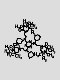 CN1C(C)(C)CN(CCN(c2nc(N(CCN3CC(C)(C)N(C)C(C)(C)C3=O)C3CCCCC3)nc(N(CCN3CC(C)(C)N(C)C(C)(C)C3=O)C3CCCCC3)n2)C2CCCCC2)CC1(C)C